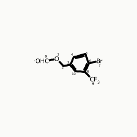 O=[C]OCc1ccc(Br)c(C(F)(F)F)c1